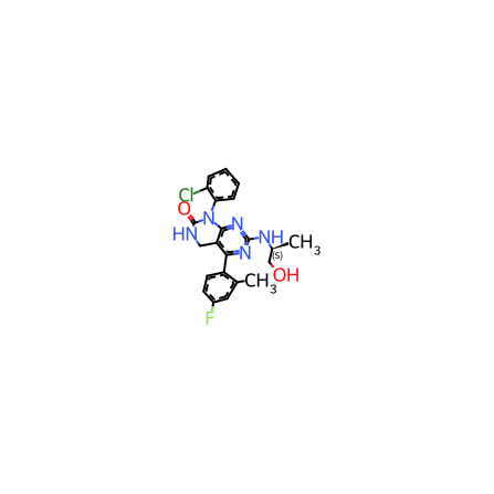 Cc1cc(F)ccc1-c1nc(N[C@@H](C)CO)nc2c1CNC(=O)N2c1ccccc1Cl